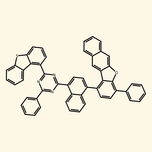 c1ccc(-c2nc(-c3ccc(-c4ccc(-c5ccccc5)c5oc6cc7ccccc7cc6c45)c4ccccc34)nc(-c3cccc4sc5ccccc5c34)n2)cc1